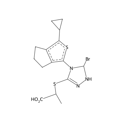 CC(SC1=NNC(Br)N1c1sc(C2CC2)c2c1CCC2)C(=O)O